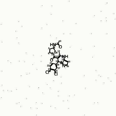 CC(=O)NC1CCN(C(=O)C2=C(C)Nc3ccnn3C2c2ccc(Cl)c(Cl)c2)C1